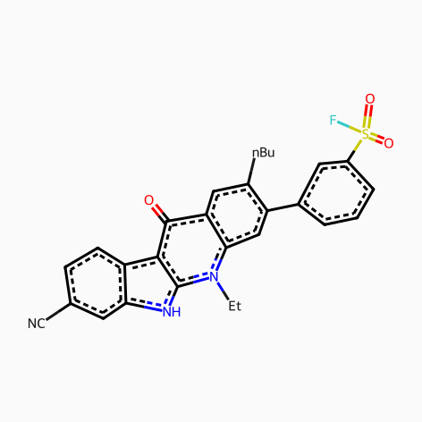 CCCCc1cc2c(=O)c3c4ccc(C#N)cc4[nH]c3n(CC)c2cc1-c1cccc(S(=O)(=O)F)c1